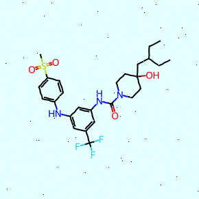 CCC(CC)CC1(O)CCN(C(=O)Nc2cc(Nc3ccc(S(C)(=O)=O)cc3)cc(C(F)(F)F)c2)CC1